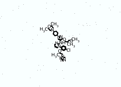 COCC(C)COc1nn(C2CCC(N3C[C@@H](C)O[C@@H](C)C3)CC2)cc1NC1N=CC=CN1c1ccc(Cl)cc1O[C@@H](C)Cn1cnnn1